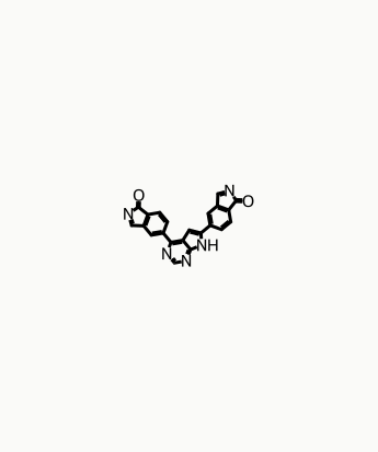 O=C1N=Cc2cc(-c3cc4c(-c5ccc6c(c5)C=NC6=O)ncnc4[nH]3)ccc21